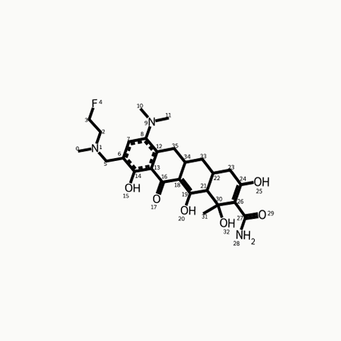 CN(CCF)Cc1cc(N(C)C)c2c(c1O)C(=O)C1=C(O)C3C(CC(O)=C(C(N)=O)C3(C)O)CC1C2